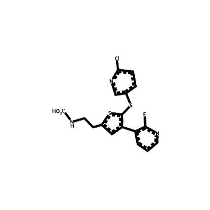 O=C(O)NCCc1cc(-c2cccnc2F)c(Sc2ccc(Cl)nc2)s1